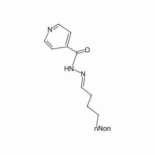 CCCCCCCCCCCC/C=N/NC(=O)c1ccncc1